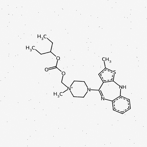 CCC(CC)OC(=O)OC[N+]1(C)CCN(C2=Nc3ccccc3Nc3sc(C)cc32)CC1